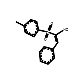 [C-]#[N+]/C(=C/c1ccccc1)S(=O)(=O)c1ccc(C)cc1